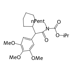 CCCCCN(C(=O)OC(C)C)C(=O)C(c1cc(OC)c(OC)c(OC)c1)C1CCCCC1